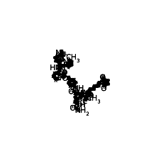 Cc1cccc(-c2nc(C3CCCCN3C(=O)OCc3ccc(NC(=O)[C@H](CCCNC(N)=O)NC(=O)C(NC(=O)CCCCCN4C(=O)C=CC4=O)C(C)C)cc3)[nH]c2-c2ccc3ncnn3c2)n1